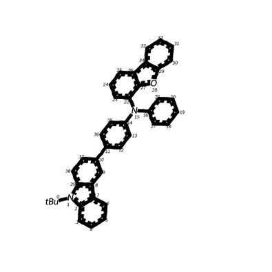 CC(C)(C)n1c2ccccc2c2cc(-c3ccc(N(c4ccccc4)c4cccc5c4oc4ccccc45)cc3)ccc21